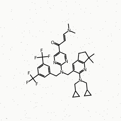 CN(C)/C=C/C(=O)c1cnc(N(Cc2cc(C(F)(F)F)cc(C(F)(F)F)c2)Cc2cc3c(nc2N(CC2CC2)CC2CC2)C(C)(C)CC3)nc1